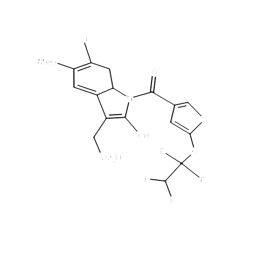 COC1=C(Cl)CC2C(=C1)C(CC(=O)O)=C(C)N2C(=O)c1csc(OC(F)(F)C(F)F)c1